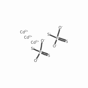 [Cd+2].[Cd+2].[Cd+2].[O-]P([O-])(=S)[S-].[O-]P([O-])(=S)[S-]